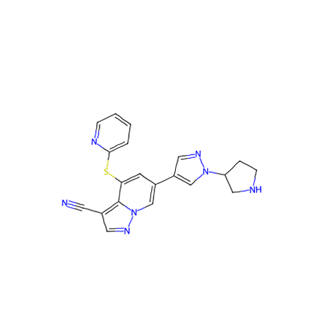 N#Cc1cnn2cc(-c3cnn(C4CCNC4)c3)cc(Sc3ccccn3)c12